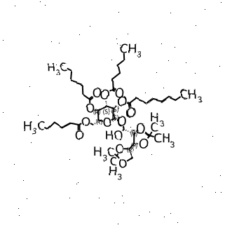 CCCCCCCC(=O)O[C@@H]1[C@H](OC(O)[C@@H]2OC(C)(C)O[C@@H]2[C@H]2COC(C)(C)O2)O[C@H](COC(=O)CCCCC)[C@@H](OC(=O)CCCCC)[C@@H]1OC(=O)CCCCC